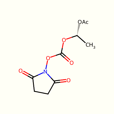 CC(=O)O[C@H](C)OC(=O)ON1C(=O)CCC1=O